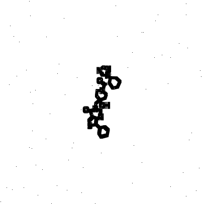 O=C([C@H]1CCCC[C@H]1n1cncn1)N1CCC(O)(Cn2cnc3c(-c4ccccc4)scc3c2=O)CC1